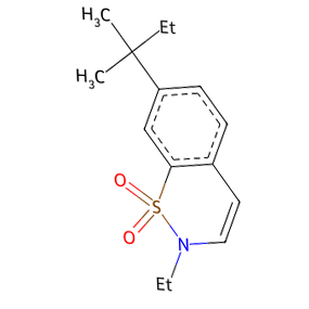 CCN1C=Cc2ccc(C(C)(C)CC)cc2S1(=O)=O